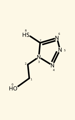 OCCn1nnnc1S